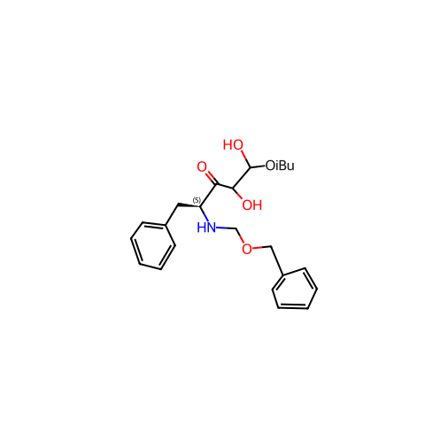 CC(C)COC(O)C(O)C(=O)[C@H](Cc1ccccc1)NCOCc1ccccc1